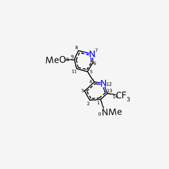 CNc1ccc(-c2cncc(OC)c2)nc1C(F)(F)F